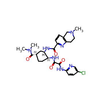 CN1CCc2nc(C(=O)N[C@@H]3C[C@@H](C(=O)N(C)C)CC[C@@H]3NC(=O)C(=O)Nc3ccc(Cl)cn3)ccc2C1